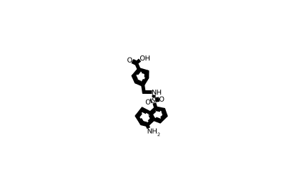 Nc1cccc2c(S(=O)(=O)NCc3ccc(C(=O)O)cc3)cccc12